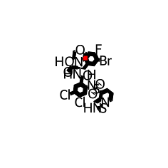 O=C(N[C@](Cc1ccc(F)c(Br)c1)(C(=O)O)N1CCOCC1)c1cc(Cl)c(Cl)cc1NS(=O)(=O)C1=CC=CN2SNC=C12